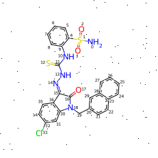 NS(=O)(=O)c1ccccc1NC(=S)NN=C1C(=O)N(Cc2ccc3ccccc3c2)c2cc(Cl)ccc21